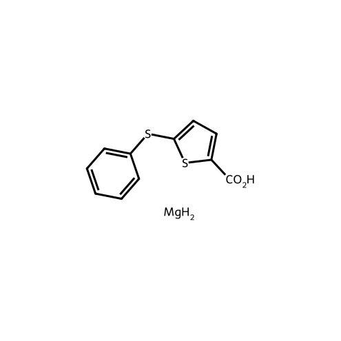 O=C(O)c1ccc(Sc2ccccc2)s1.[MgH2]